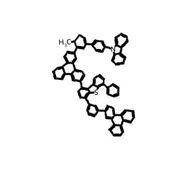 CC1CC=C(c2ccc(-n3c4ccccc4c4ccccc43)cc2)C=C1c1ccc2c3ccccc3c3cc(-c4ccc(-c5cccc(-c6ccc7c8ccccc8c8ccccc8c7c6)c5)c5sc6c(-c7ccccc7)cccc6c45)ccc3c2c1